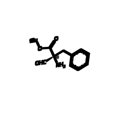 CC(C)(C)OC(=O)[C@@](N)(C=O)Cc1ccccc1